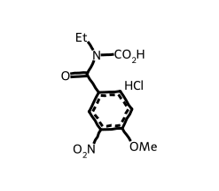 CCN(C(=O)O)C(=O)c1ccc(OC)c([N+](=O)[O-])c1.Cl